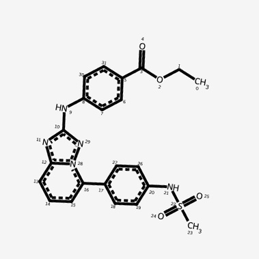 CCOC(=O)c1ccc(Nc2nc3cccc(-c4ccc(NS(C)(=O)=O)cc4)n3n2)cc1